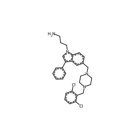 NCCCn1cc(-c2ccccc2)c2cc(CN3CCN(Cc4c(Cl)cccc4Cl)CC3)ccc21